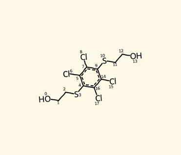 OCCSc1c(Cl)c(Cl)c(SCCO)c(Cl)c1Cl